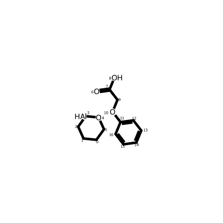 C1C[CH2][AlH][O]C1.O=C(O)COc1ccccc1